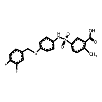 Cc1ccc(S(=O)(=O)Nc2ccc(SCc3ccc(F)c(F)c3)cc2)cc1C(=O)O